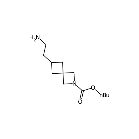 CCCCOC(=O)N1CC2(CC(CCN)C2)C1